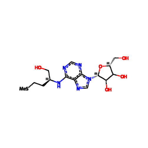 CSCC[C@@H](CO)Nc1ncnc2c1ncn2[C@@H]1O[C@H](CO)C(O)C1O